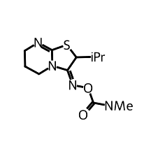 CNC(=O)ON=C1C(C(C)C)SC2=NCCCN21